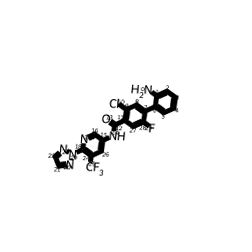 Nc1ccccc1-c1cc(Cl)c(C(=O)Nc2cnc(-n3nccn3)c(C(F)(F)F)c2)cc1F